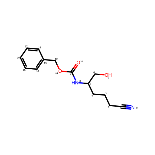 N#CCCCC(CO)NC(=O)OCc1ccccc1